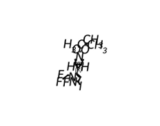 CC(C)(C)OC(=O)N1C[C@@H]2[C@H](C1)[C@H]2c1cc(I)nn1CC(F)(F)F